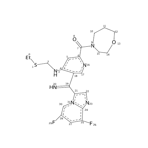 CCSCNc1cc(C(=O)N2CCCOCC2)ncc1C(=N)c1cnc2c(F)cc(F)cn12